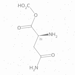 NC(=O)C[C@H](N)C(=O)OC(=O)O